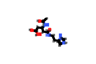 CC(=O)NC(CC(=O)O)CC(=O)NCCc1cnc[nH]1